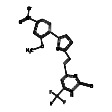 COc1cc([N+](=O)[O-])ccc1-c1ccc(C=Cc2cc(C(F)(F)F)[nH]c(=O)n2)o1